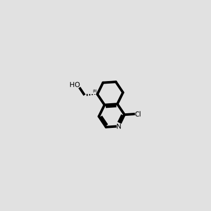 OC[C@@H]1CCCc2c1ccnc2Cl